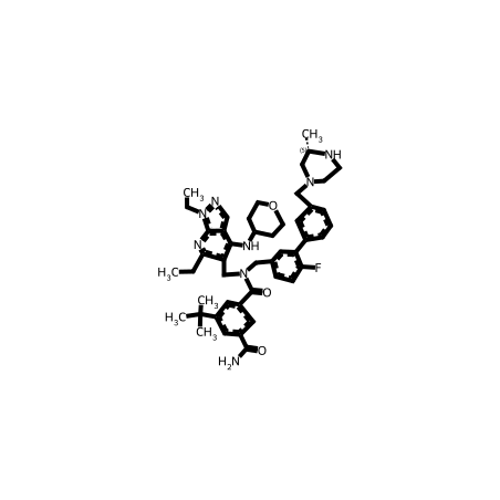 CCc1nc2c(cnn2CC)c(NC2CCOCC2)c1CN(Cc1ccc(F)c(-c2cccc(CN3CCN[C@@H](C)C3)c2)c1)C(=O)c1cc(C(N)=O)cc(C(C)(C)C)c1